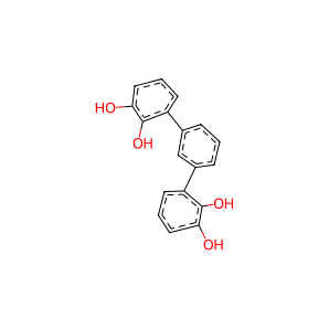 Oc1cccc(-c2cccc(-c3cccc(O)c3O)c2)c1O